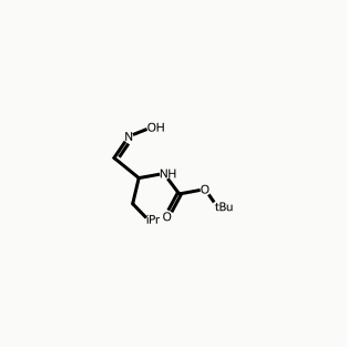 CC(C)CC(/C=N\O)NC(=O)OC(C)(C)C